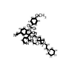 CCOc1ncccc1[C@]1(NC(=O)N2CC3(CN(CCN4CCCCC4)C3)C2)C(=O)N(S(=O)(=O)c2ccc(OC)cc2)c2ccc(C#N)cc21